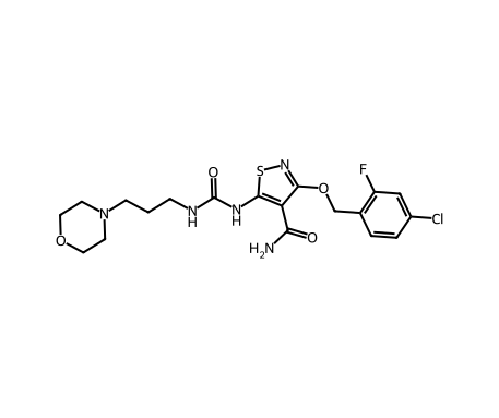 NC(=O)c1c(OCc2ccc(Cl)cc2F)nsc1NC(=O)NCCCN1CCOCC1